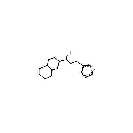 OC(CCc1cccnc1)C1CCC2CCCCC2C1